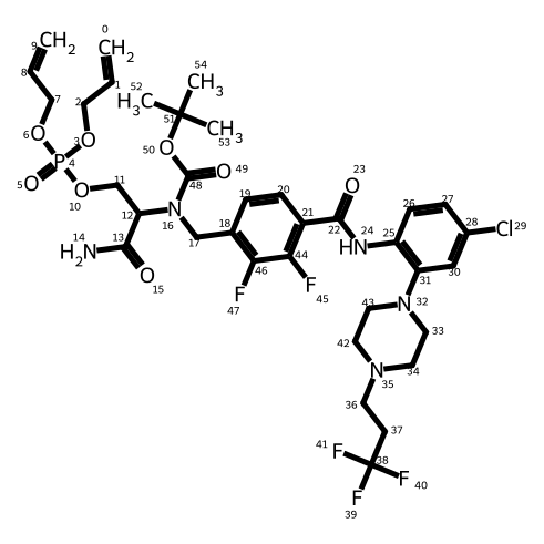 C=CCOP(=O)(OCC=C)OCC(C(N)=O)N(Cc1ccc(C(=O)Nc2ccc(Cl)cc2N2CCN(CCC(F)(F)F)CC2)c(F)c1F)C(=O)OC(C)(C)C